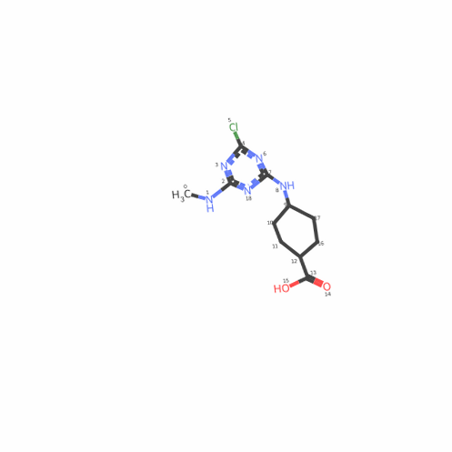 CNc1nc(Cl)nc(NC2CCC(C(=O)O)CC2)n1